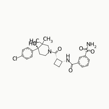 CC1(C)CN(C(=O)[C@H]2CC[C@H]2NC(=O)c2cccc(S(N)(=O)=O)c2)CC[C@]1(O)c1ccc(Cl)cc1